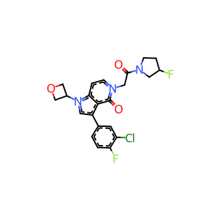 O=C(Cn1ccc2c(c(-c3ccc(F)c(Cl)c3)cn2C2COC2)c1=O)N1CCC(F)C1